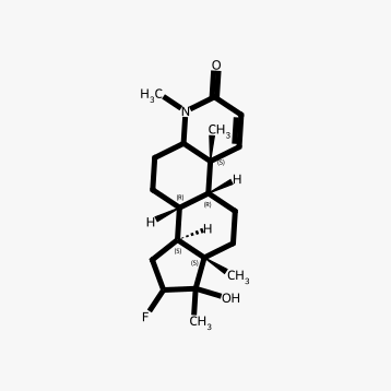 CN1C(=O)C=C[C@@]2(C)C1CC[C@@H]1[C@H]2CC[C@@]2(C)[C@H]1CC(F)C2(C)O